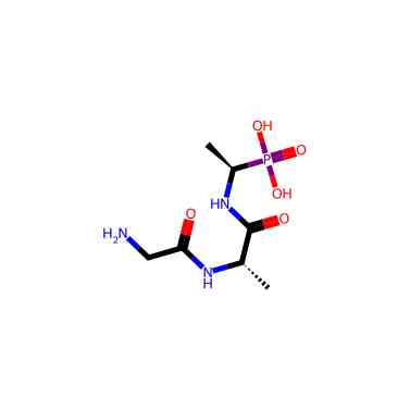 C[C@H](NC(=O)CN)C(=O)N[C@@H](C)P(=O)(O)O